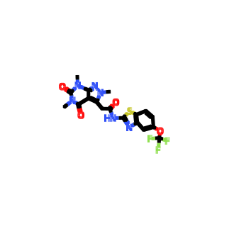 Cn1nc2c(c1CC(=O)Nc1nc3cc(OC(F)(F)F)ccc3s1)c(=O)n(C)c(=O)n2C